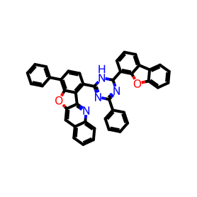 c1ccc(C2=NC(c3cccc4c3oc3ccccc34)NC(c3ccc(-c4ccccc4)c4oc5cc6ccccc6nc5c34)=N2)cc1